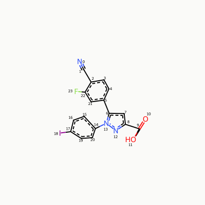 N#Cc1ccc(-c2cc(C(=O)O)nn2-c2ccc(I)cc2)cc1F